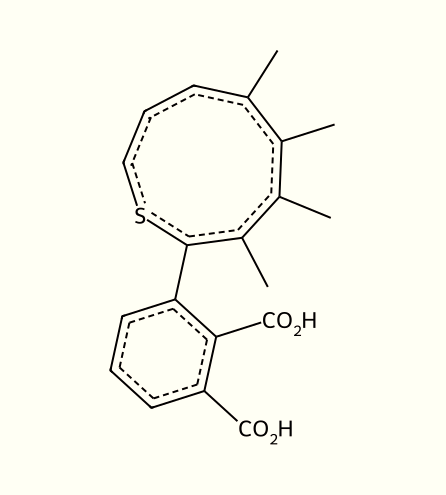 Cc1cccsc(-c2cccc(C(=O)O)c2C(=O)O)c(C)c(C)c1C